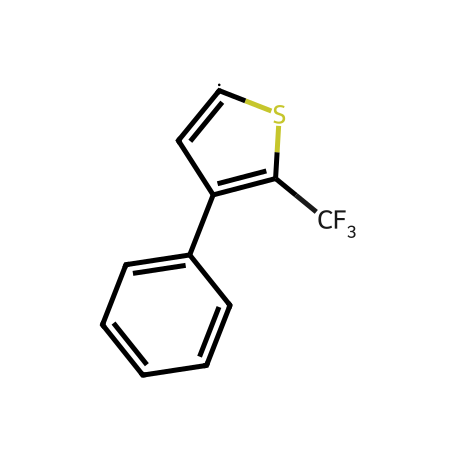 FC(F)(F)c1s[c]cc1-c1ccccc1